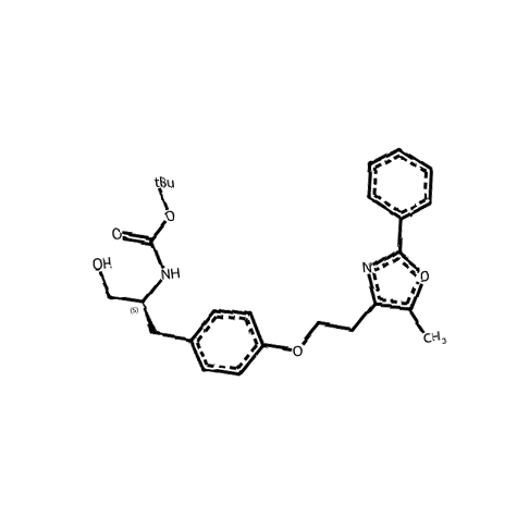 Cc1oc(-c2ccccc2)nc1CCOc1ccc(C[C@@H](CO)NC(=O)OC(C)(C)C)cc1